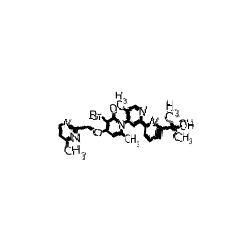 Cc1ccnc(COc2cc(C)n(-c3cc(-c4cccc(C(C)(C)O)n4)ncc3C)c(=O)c2Br)n1